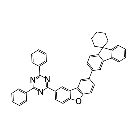 c1ccc(-c2nc(-c3ccccc3)nc(-c3ccc4oc5ccc(-c6ccc7c(c6)-c6ccccc6C76CCCCC6)cc5c4c3)n2)cc1